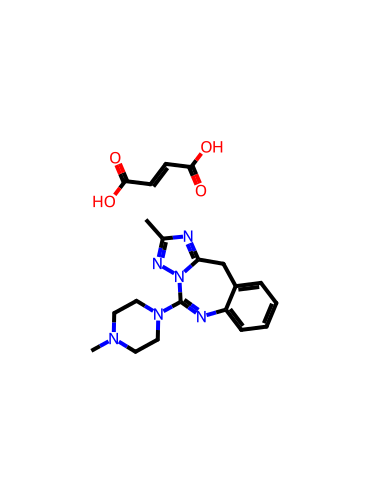 Cc1nc2n(n1)C(N1CCN(C)CC1)=Nc1ccccc1C2.O=C(O)C=CC(=O)O